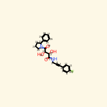 O=C(NCC#Cc1ccc(F)cc1)[C@H](O)[C@@H](O)C(=O)N1CCCC1c1ccccc1